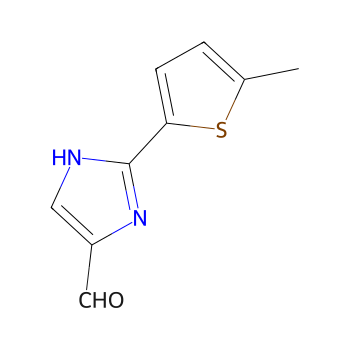 Cc1ccc(-c2nc(C=O)c[nH]2)s1